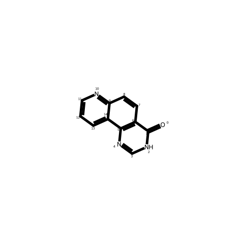 O=c1[nH]cnc2c1ccc1ncccc12